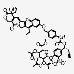 C#CC[C@@H](OC(=O)Nc1ccc(COc2ccc3nc4c(c(CC)c3c2)Cn2c-4cc3c(c2=O)COC(=O)[C@]3(O)CC)cc1)c1ccc(O[C@H]2O[C@@H](C(=O)OC)[C@H](OC(C)=O)[C@@H](OC(C)=O)[C@@H]2OC(C)=O)c([N+](=O)[O-])c1